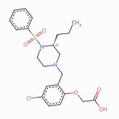 CCC[C@H]1CN(Cc2cc(Cl)ccc2OCC(=O)O)CCN1S(=O)(=O)c1ccccc1